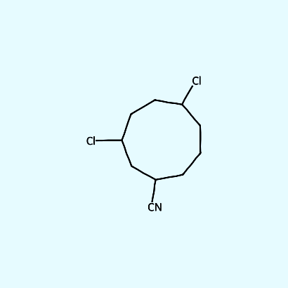 N#CC1CCCC(Cl)CCC(Cl)C1